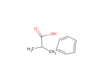 CC(C)C(=O)O.c1ccccc1